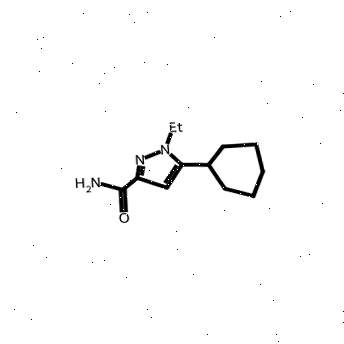 CCn1nc(C(N)=O)cc1C1CCCCC1